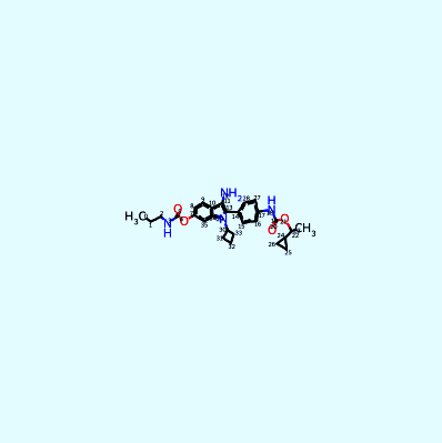 CCCNC(=O)Oc1ccc2c(N)c(-c3ccc(NC(=O)OC(C)C4CC4)cc3)n(C3CCC3)c2c1